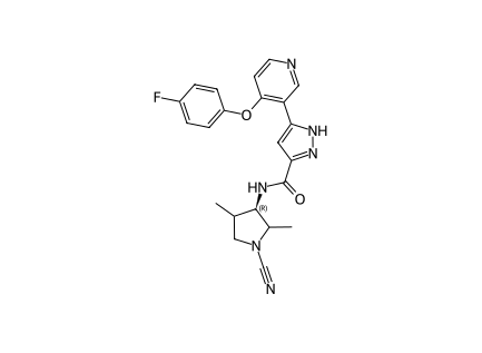 CC1CN(C#N)C(C)[C@@H]1NC(=O)c1cc(-c2cnccc2Oc2ccc(F)cc2)[nH]n1